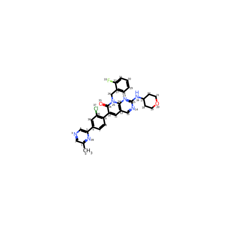 Cc1cncc(-c2ccc(-c3cc4cnc(NC5CCOCC5)nc4n(Cc4ccccc4F)c3=O)c(Cl)c2)n1